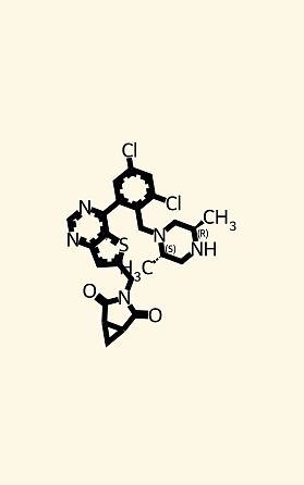 C[C@@H]1CN(Cc2c(Cl)cc(Cl)cc2-c2ncnc3cc(CN4C(=O)C5CC5C4=O)sc23)[C@@H](C)CN1